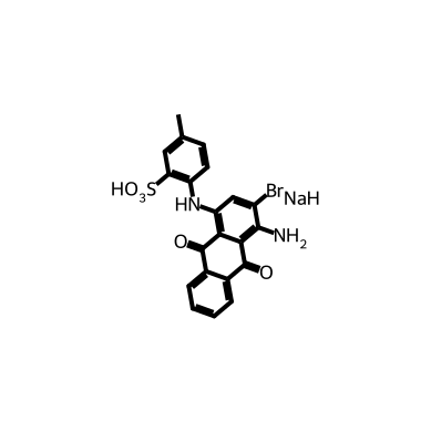 Cc1ccc(Nc2cc(Br)c(N)c3c2C(=O)c2ccccc2C3=O)c(S(=O)(=O)O)c1.[NaH]